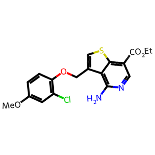 CCOC(=O)c1cnc(N)c2c(COc3ccc(OC)cc3Cl)csc12